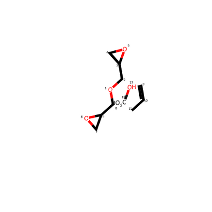 C(OCC1CO1)C1CO1.C=CC.O=C(O)O